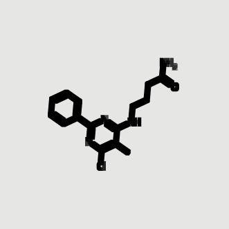 Cc1c(Cl)nc(-c2ccccc2)nc1NCCCC(N)=O